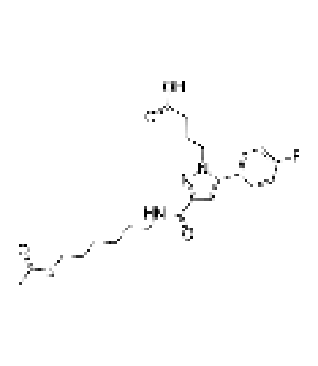 CC(=O)SCCCCCCNC(=O)c1cc(-c2ccc(F)cc2)n(CCCC(=O)O)n1